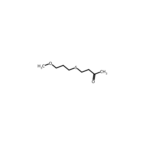 COCCCSCCC(C)=O